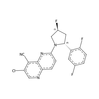 N#Cc1c(Cl)cnc2ccc(N3C[C@@H](F)C[C@@H]3c3cc(F)ccc3F)nc12